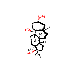 C[C@]1(O)CC[C@H]2[C@@H]3CC[C@H]4C[C@@H](O)CC[C@]4(CO)[C@H]3CC[C@@]21C